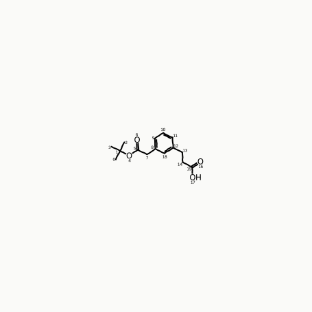 CC(C)(C)OC(=O)Cc1cccc(CCC(=O)O)c1